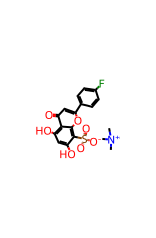 C[N+](C)(C)C.O=c1cc(-c2ccc(F)cc2)oc2c(S(=O)(=O)[O-])c(O)cc(O)c12